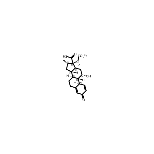 CCOC(=O)O[C@]1(C(=O)S)[C@H](C)C[C@H]2[C@@H]3CCC4=CC(=O)C=C[C@]4(C)[C@H]3[C@@H](O)C[C@@]21C